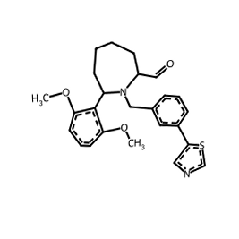 COc1cccc(OC)c1C1CCCCC(C=O)N1Cc1cccc(-c2cncs2)c1